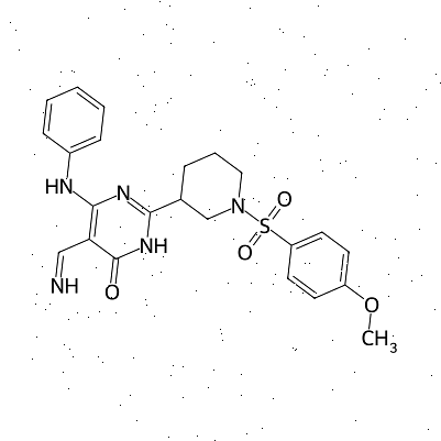 COc1ccc(S(=O)(=O)N2CCCC(c3nc(Nc4ccccc4)c(C=N)c(=O)[nH]3)C2)cc1